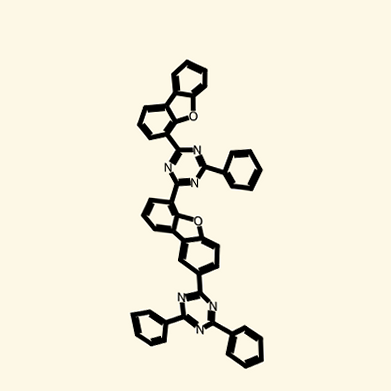 c1ccc(-c2nc(-c3ccccc3)nc(-c3ccc4oc5c(-c6nc(-c7ccccc7)nc(-c7cccc8c7oc7ccccc78)n6)cccc5c4c3)n2)cc1